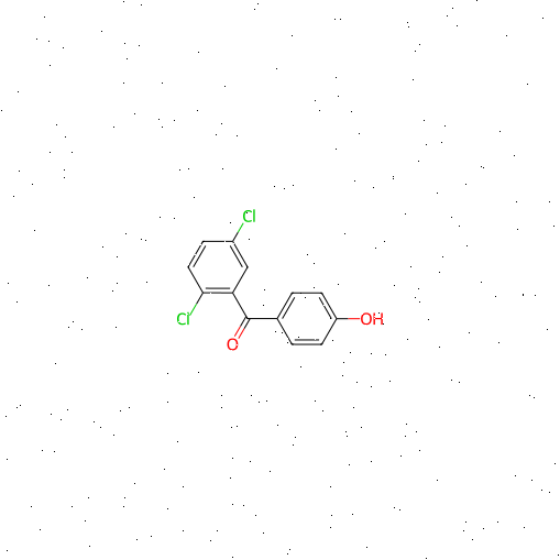 O=C(c1ccc(O)cc1)c1cc(Cl)ccc1Cl